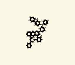 c1ccc(-c2cc(-c3ccccc3)nc(-c3cccc4oc5c(-c6cccc(N(c7ccccc7)c7ccc8c(c7)oc7ccccc78)c6)cc6ccccc6c5c34)n2)cc1